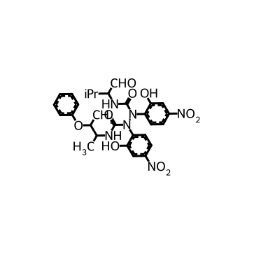 CC(C)C(C=O)NC(=O)N(c1ccc([N+](=O)[O-])cc1O)N(C(=O)NC(C)C(C)Oc1ccccc1)c1ccc([N+](=O)[O-])cc1O